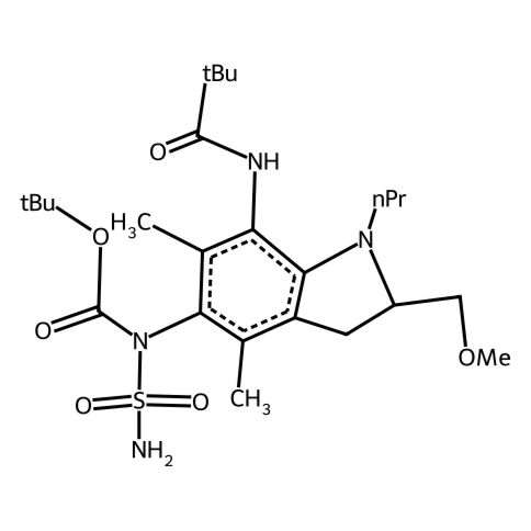 CCCN1c2c(c(C)c(N(C(=O)OC(C)(C)C)S(N)(=O)=O)c(C)c2NC(=O)C(C)(C)C)CC1COC